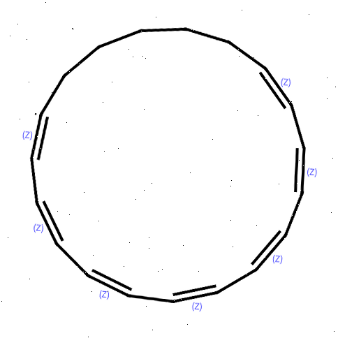 [C]1=C/C=C\C=C/C=C\C=C/C=C\C=C/CCCCC\1